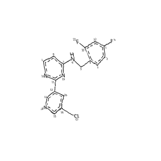 Fc1ccc(CNc2ccnc(-c3cncc(Cl)c3)n2)c(F)c1